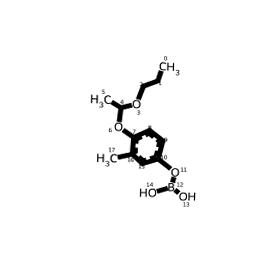 CCCOC(C)Oc1ccc(OB(O)O)cc1C